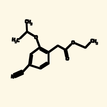 CCOC(=O)Cc1ccc(C#N)cc1OC(C)C